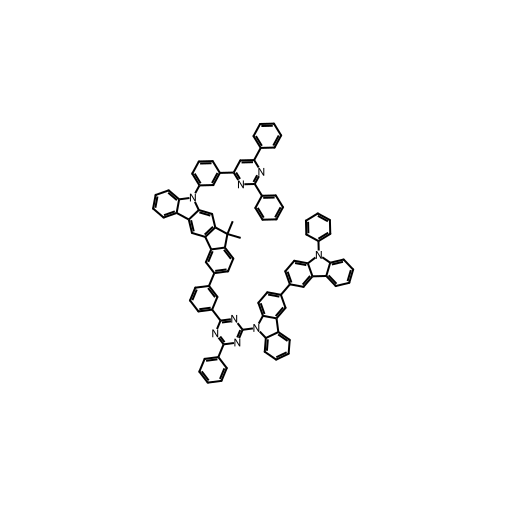 CC1(C)c2ccc(-c3cccc(-c4nc(-c5ccccc5)nc(-n5c6ccccc6c6cc(-c7ccc8c(c7)c7ccccc7n8-c7ccccc7)ccc65)n4)c3)cc2-c2cc3c4ccccc4n(-c4cccc(-c5cc(-c6ccccc6)nc(-c6ccccc6)n5)c4)c3cc21